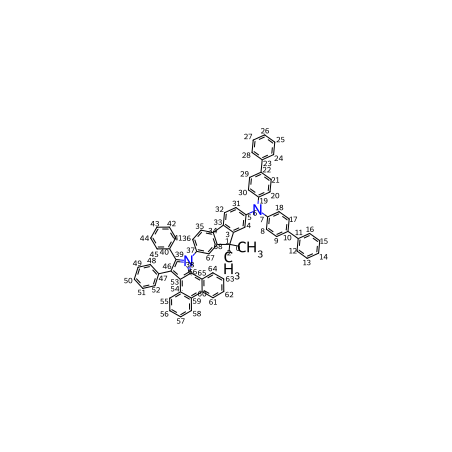 CC1(C)c2cc(N(c3ccc(-c4ccccc4)cc3)c3ccc(-c4ccccc4)cc3)ccc2-c2ccc(-n3c(-c4ccccc4)c(-c4ccccc4)c4c5ccccc5c5ccccc5c43)cc21